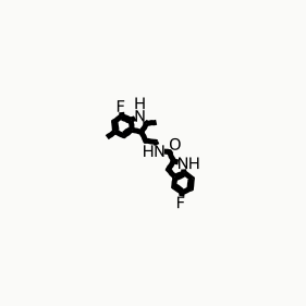 Cc1cc(F)c2c(c1)C(CCNC(=O)C1Cc3cc(F)ccc3N1)C(C)N2